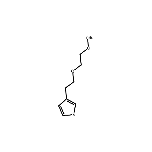 CCCCOCCOCCc1ccsc1